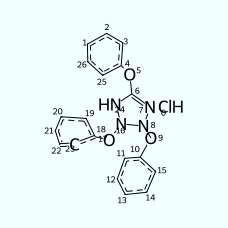 Cl.c1ccc(OC2=NN(Oc3ccccc3)N(Oc3ccccc3)N2)cc1